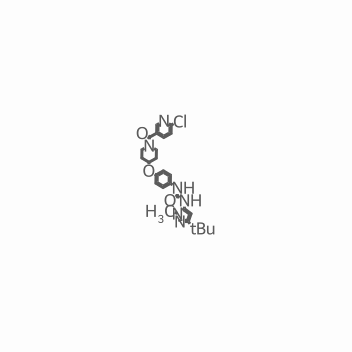 Cn1nc(C(C)(C)C)cc1NC(=O)Nc1ccc(OC2CCN(C(=O)c3ccc(Cl)nc3)CC2)cc1